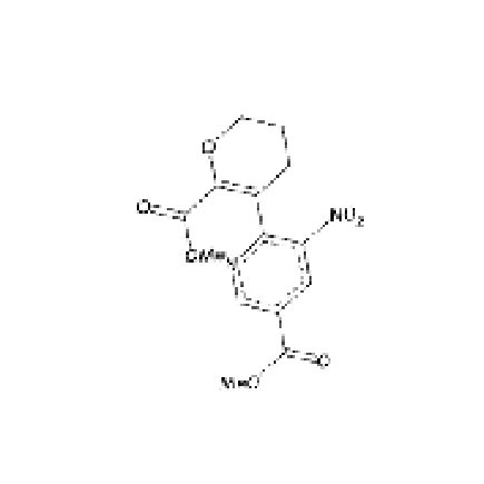 COC(=O)C1=C(c2ncc(C(=O)OC)cc2[N+](=O)[O-])CCCO1